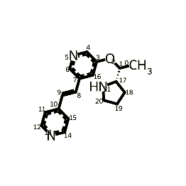 CC(Oc1cncc(C=Cc2ccncc2)c1)[C@@H]1CCCN1